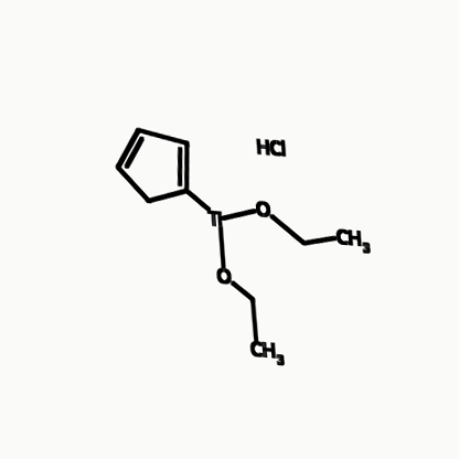 CC[O][Ti]([O]CC)[C]1=CC=CC1.Cl